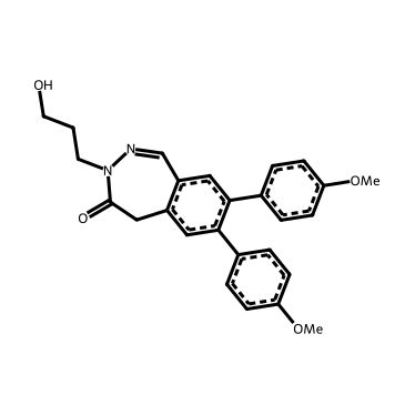 COc1ccc(-c2cc3c(cc2-c2ccc(OC)cc2)CC(=O)N(CCCO)N=C3)cc1